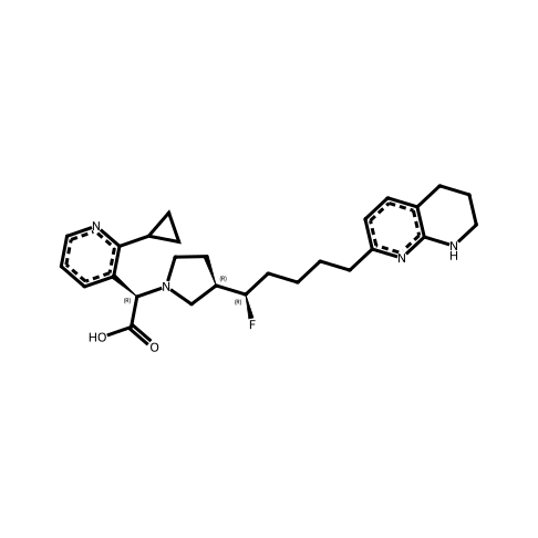 O=C(O)[C@@H](c1cccnc1C1CC1)N1CC[C@@H]([C@H](F)CCCCc2ccc3c(n2)NCCC3)C1